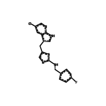 Fc1ccc(CNc2ncc(Cc3c[nH]c4ncc(Cl)cc34)s2)cc1